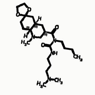 CCCCN(C(=O)NCCCN(C)C)C(=O)[C@@H]1C[C@@H]2CC3(CC[C@H]2N(C)C1)OCCO3